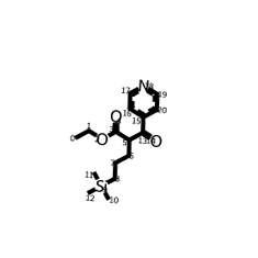 CCOC(=O)C(CCC[Si](C)(C)C)C(=O)c1ccncc1